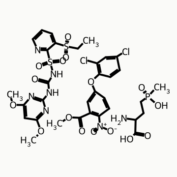 CCS(=O)(=O)c1cccnc1S(=O)(=O)NC(=O)Nc1nc(OC)cc(OC)n1.COC(=O)c1cc(Oc2ccc(Cl)cc2Cl)ccc1[N+](=O)[O-].CP(=O)(O)CCC(N)C(=O)O